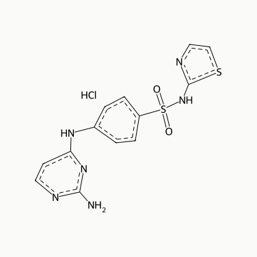 Cl.Nc1nccc(Nc2ccc(S(=O)(=O)Nc3nccs3)cc2)n1